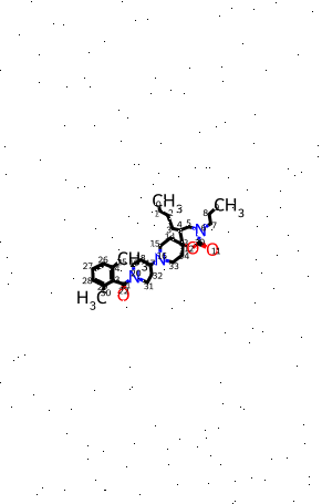 CCCCC1CN(CCC)C(=O)OC12CCN(C1CCN(C(=O)c3c(C)cccc3C)CC1)CC2